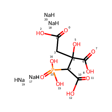 O=C(O)CC(O)(C(=O)O)C(C(=O)O)P(=O)(O)O.[NaH].[NaH].[NaH].[NaH]